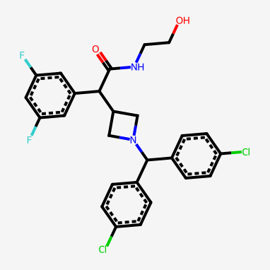 O=C(NCCO)C(c1cc(F)cc(F)c1)C1CN(C(c2ccc(Cl)cc2)c2ccc(Cl)cc2)C1